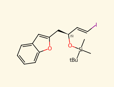 CC(C)(C)[Si](C)(C)O[C@H](C=CI)Cc1cc2ccccc2o1